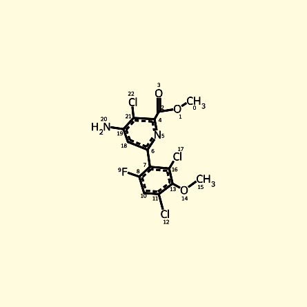 COC(=O)c1nc(-c2c(F)cc(Cl)c(OC)c2Cl)cc(N)c1Cl